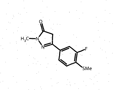 CSc1ccc(C2=NN(C)C(=O)C2)cc1F